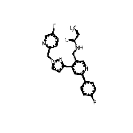 C=CC(=O)NCc1cnc(-c2ccc(F)cc2)cc1-c1ccn(Cc2ccc(F)cn2)n1